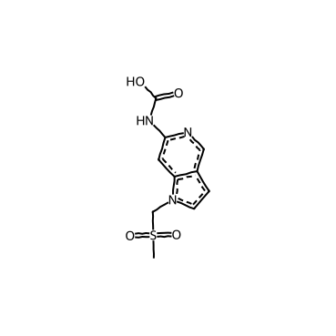 CS(=O)(=O)Cn1ccc2cnc(NC(=O)O)cc21